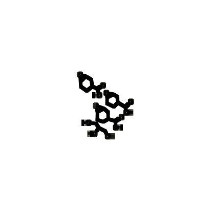 O=C(O)C1CCC2OC2C1.O=C(O)C1CCC2OC2C1.O=C(O)C1CCC2OC2C1.OCC(O)CO